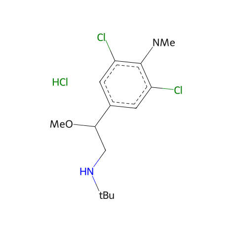 CNc1c(Cl)cc(C(CNC(C)(C)C)OC)cc1Cl.Cl